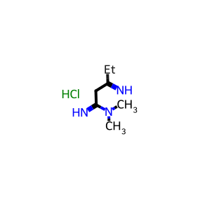 CCC(=N)CC(=N)N(C)C.Cl